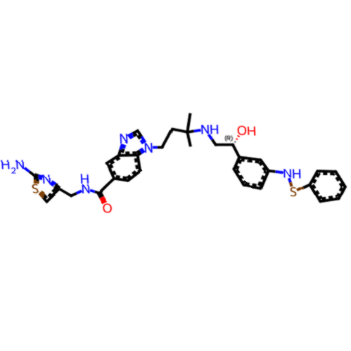 CC(C)(CCn1cnc2cc(C(=O)NCc3csc(N)n3)ccc21)NC[C@H](O)c1cccc(NSc2ccccc2)c1